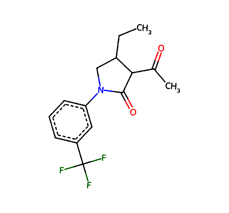 CCC1CN(c2cccc(C(F)(F)F)c2)C(=O)C1C(C)=O